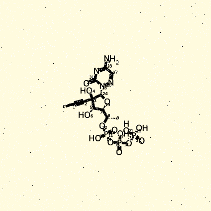 CC#CC1(O)[C@@H](O)[C@@H]([C@H](C)OP(=O)(O)OP(=O)(O)OP(=O)(O)O)O[C@H]1n1ncc(N)nc1=O